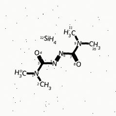 CN(C)C(=O)N=NC(=O)N(C)C.[SiH4]